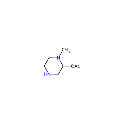 CC(=O)OC1CNCCN1C